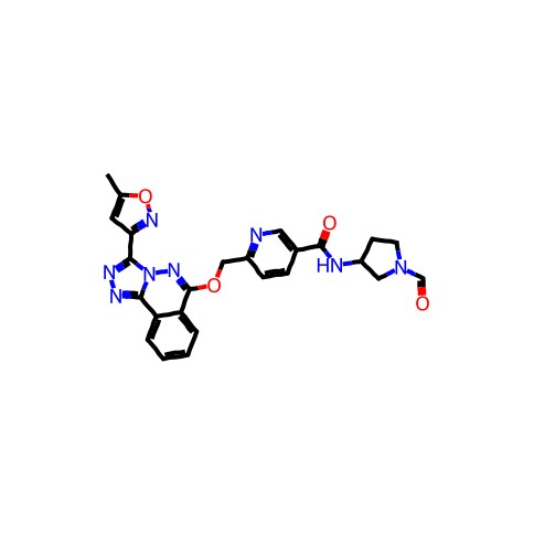 Cc1cc(-c2nnc3c4ccccc4c(OCc4ccc(C(=O)NC5CCN(C=O)C5)cn4)nn23)no1